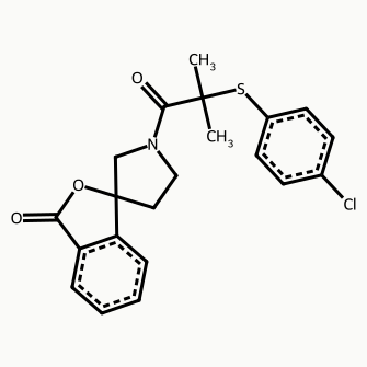 CC(C)(Sc1ccc(Cl)cc1)C(=O)N1CCC2(C1)OC(=O)c1ccccc12